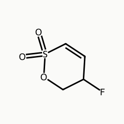 O=S1(=O)C=CC(F)CO1